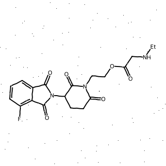 CCNCC(=O)OCCN1C(=O)CCC(N2C(=O)c3cccc(F)c3C2=O)C1=O